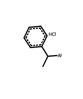 C[CH]([Al])c1ccccc1.Cl